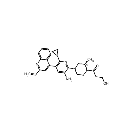 C=Cc1cc(-c2cc(N)c(N3CCN(C(=O)CCO)[C@H](C)C3)nc2C2CC2)c2ccccc2n1